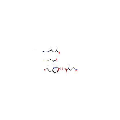 CSCCC(N)C(=O)O.N=C(N)NCCCC(N)C(=O)O.NC(=O)CCC(N)C(=O)O.NC(Cc1ccc(O)cc1)C(=O)O